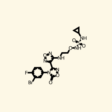 O=c1onc(-c2nonc2NCCONS(=O)(=O)NC2CC2)n1-c1ccc(F)c(Br)c1